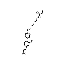 C=CC(=O)OCCCCCCOc1ccc(-c2ccc(/C=C/C(C)=O)cc2F)cc1